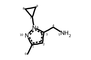 Cc1cc(CN)n(C2CC2)n1